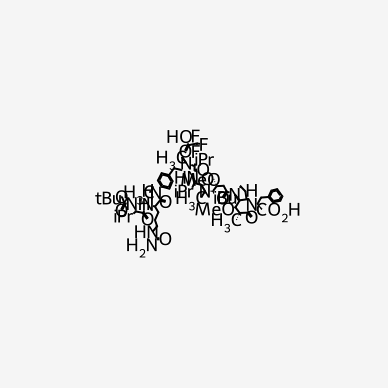 CC[C@H](C)[C@@H]([C@@H](CC(=O)N1CCCC1[C@H](OC)[C@@H](C)C(=O)N[C@@H](Cc1ccccc1)C(=O)O)OC)N(C)C(=O)C(NC(=O)C(C(C)C)N(C)CCc1ccc(N(C)C(=O)C(CCCNC(N)=O)NC(=O)C(NC(=O)OC(C)(C)C)C(C)C)cc1)C(C)C.O=C(O)C(F)(F)F